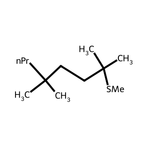 CCCC(C)(C)CCC(C)(C)SC